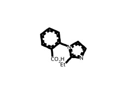 CCc1nccn1-c1ccccc1C(=O)O